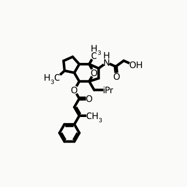 C/C(=C\C(=O)OC1C2C(C)CCC2C2(C)OC1(CC(C)C)CC2NC(=O)CO)c1ccccc1